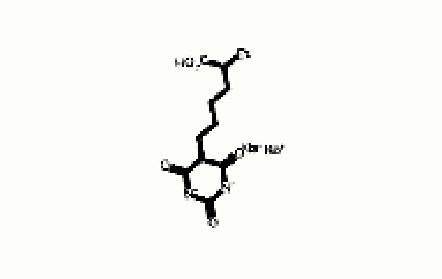 CCC(CCCCC1C(=O)[N-]C(=O)[N-]C1=O)C(=O)O.[Na+].[Na+]